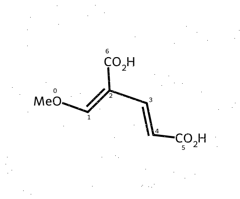 COC=C(/C=C/C(=O)O)C(=O)O